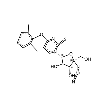 Cc1cccc(C)c1Oc1ccn([C@@H]2O[C@@](CO)(N=[N+]=[N-])[C@H](O)C2O)c(=S)n1